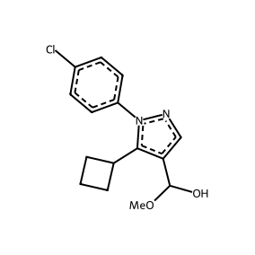 COC(O)c1cnn(-c2ccc(Cl)cc2)c1C1CCC1